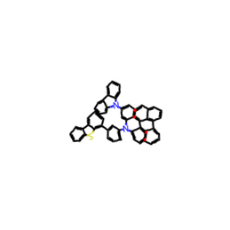 c1ccc(-c2cccc3cccc(-c4ccccc4N(c4cccc(-c5cccc6c5sc5ccccc56)c4)c4cccc(-n5c6ccccc6c6ccccc65)c4)c23)cc1